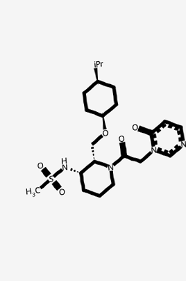 CC(C)[C@H]1CC[C@@H](OC[C@H]2[C@@H](NS(C)(=O)=O)CCCN2C(=O)Cn2cnccc2=O)CC1